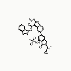 C[C@@H](C1CC1)N1Cc2cc(-c3ccn4nc(N)c(C(=O)On5nnc6ccccc65)c4n3)cc(NS(C)(=O)=O)c2C1=O